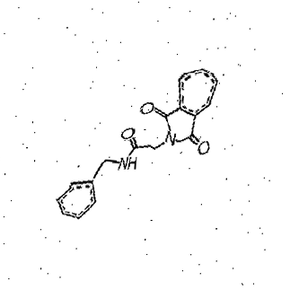 O=C(CN1C(=O)c2ccccc2C1=O)NCc1ccccc1